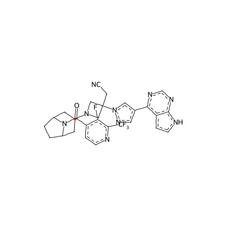 N#CCC1(n2cc(-c3ncnc4[nH]ccc34)cn2)CN(C2CC3CCC(C2)N3C(=O)c2ccnc(C(F)(F)F)c2F)C1